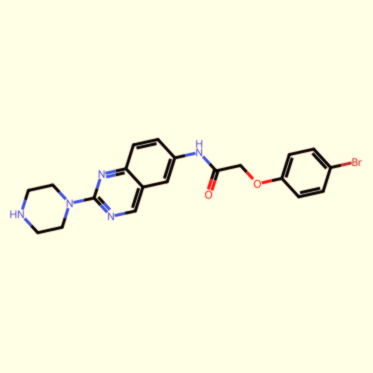 O=C(COc1ccc(Br)cc1)Nc1ccc2nc(N3CCNCC3)ncc2c1